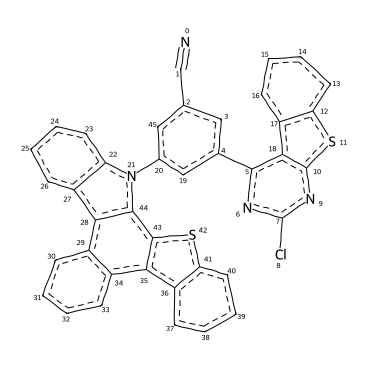 N#Cc1cc(-c2nc(Cl)nc3sc4ccccc4c23)cc(-n2c3ccccc3c3c4ccccc4c4c5ccccc5sc4c32)c1